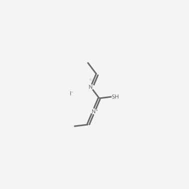 CC=[N+]=C(S)/N=C/C.[I-]